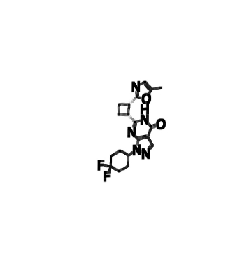 Cc1cnc([C@H]2CC[C@H]2c2nc3c(cnn3C3CCC(F)(F)CC3)c(=O)[nH]2)o1